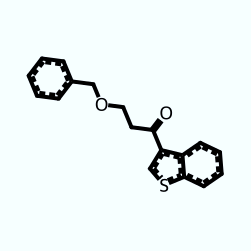 O=C(CCOCc1ccccc1)c1csc2ccccc12